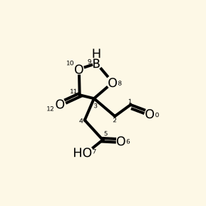 O=CCC1(CC(=O)O)OBOC1=O